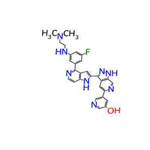 CN(C)CCNc1cc(F)cc(-c2nccc3[nH]c(-c4n[nH]c5cnc(-c6cncc(O)c6)cc45)cc23)c1